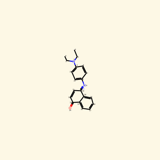 CCN(CC)c1ccc(/N=C2\C=CC(=O)c3ccccc32)cc1